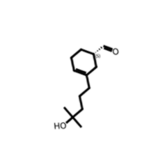 CC(C)(O)CCCC1=CCC[C@H](C=O)C1